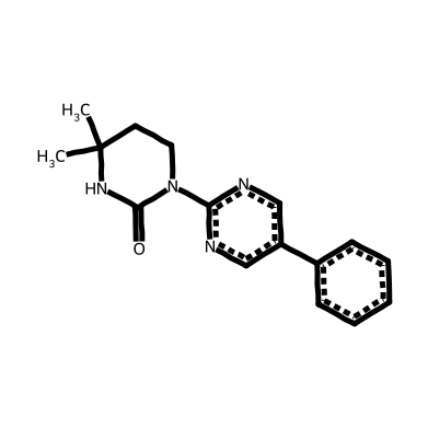 CC1(C)CCN(c2ncc(-c3ccccc3)cn2)C(=O)N1